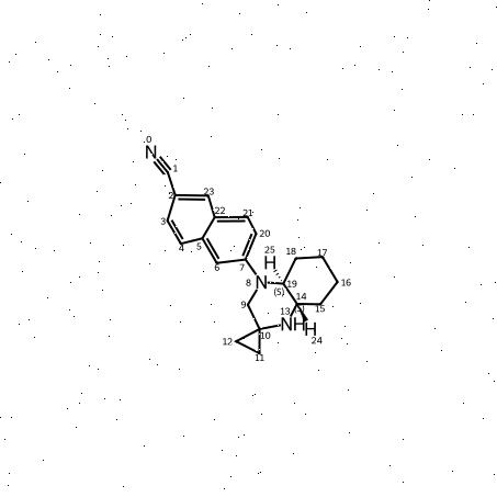 N#Cc1ccc2cc(N3CC4(CC4)N[C@H]4CCCC[C@@H]43)ccc2c1